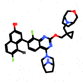 CCc1c(F)ccc2cc(O)cc(-c3ccc4c(N5CC6CCC(C5)N6)nc(OCC5(CN6C7CCC6COC7)CC5)nc4c3F)c12